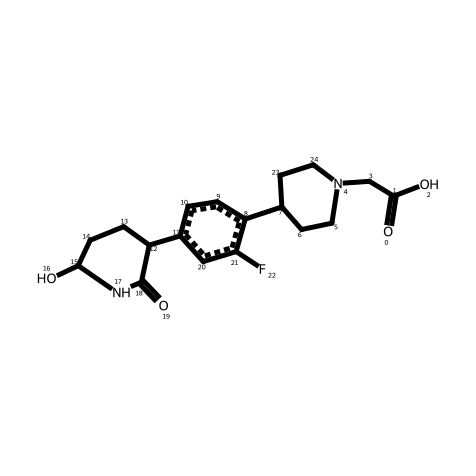 O=C(O)CN1CCC(c2ccc(C3CCC(O)NC3=O)cc2F)CC1